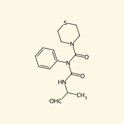 CC([C]=O)NC(=O)N(C(=O)N1CCSCC1)c1ccccc1